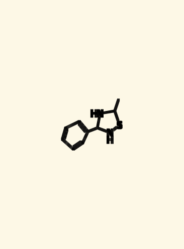 CC1NC(c2ccccc2)NS1